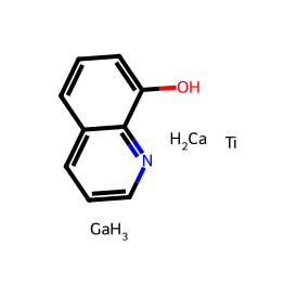 Oc1cccc2cccnc12.[CaH2].[GaH3].[Ti]